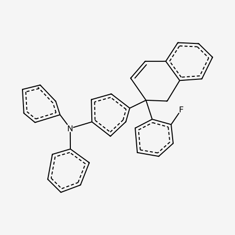 Fc1ccccc1C1(c2ccc(N(c3ccccc3)c3ccccc3)cc2)C=Cc2ccccc2C1